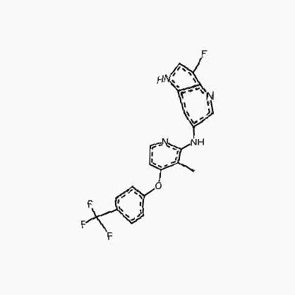 Cc1c(Oc2ccc(C(F)(F)F)cc2)ccnc1Nc1cnc2c(F)c[nH]c2c1